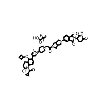 C[C@H]1CCc2c(ccc(-c3cnn(C4CCN(CC(=O)N5CC6CN(c7ccc8c(c7)C(=O)N(C7CCC(=O)NC7=O)C8=O)CC6C5)CC4)c3)c2OC2CCC2)N1C(=O)C1CC1.O=C(O)C(F)(F)F